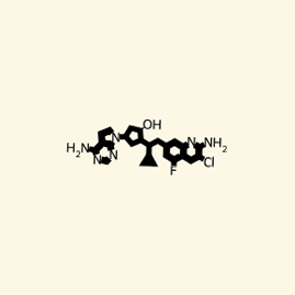 Nc1nc2cc(CC(C3CC3)C3CC(n4ccc5c(N)ncnc54)C[C@@H]3O)cc(F)c2cc1Cl